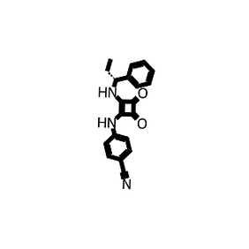 CC[C@@H](Nc1c(Nc2ccc(C#N)cc2)c(=O)c1=O)c1ccccc1